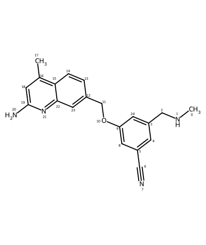 CNCc1cc(C#N)cc(OCc2ccc3c(C)cc(N)nc3c2)c1